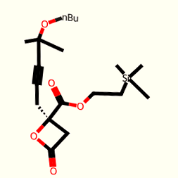 CCCCOC(C)(C)C#CC[C@]1(C(=O)OCC[Si](C)(C)C)CC(=O)O1